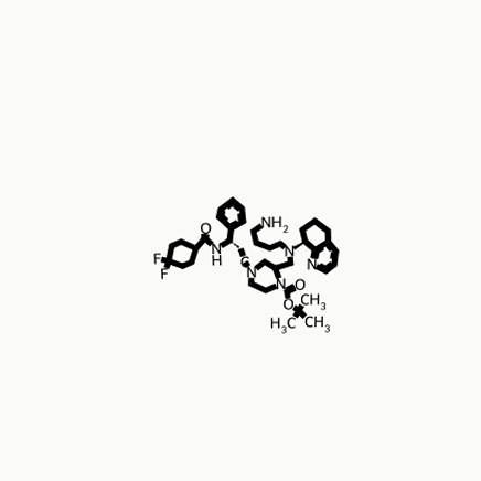 CC(C)(C)OC(=O)N1CCN(CC[C@H](NC(=O)C2CCC(F)(F)CC2)c2ccccc2)CC1CN(CCCCN)[C@H]1CCCc2cccnc21